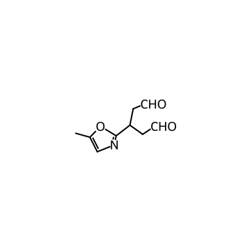 Cc1cnc(C(CC=O)CC=O)o1